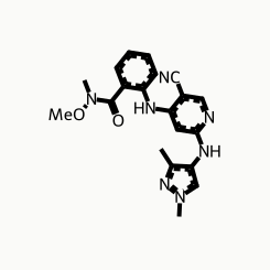 CON(C)C(=O)c1ccccc1Nc1cc(Nc2cn(C)nc2C)ncc1C#N